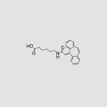 O=C(O)CCCCCNC(=O)C=C1c2ccccc2C=Cc2ccccc21